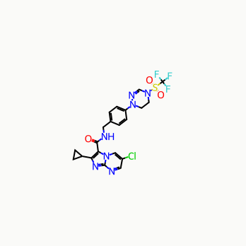 O=C(NCc1ccc(N2CCN(S(=O)(=O)C(F)(F)F)C=N2)cc1)c1c(C2CC2)nc2ncc(Cl)cn12